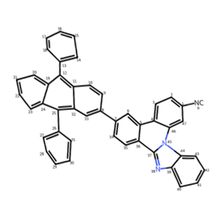 [C-]#[N+]c1ccc2c3cc(-c4ccc5c(-c6ccccc6)c6ccccc6c(-c6ccccc6)c5c4)ccc3c3nc4ccccc4n3c2c1